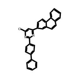 Clc1cc(-c2ccc3c(ccc4ccccc43)c2)nc(-c2ccc(-c3ccccc3)cc2)n1